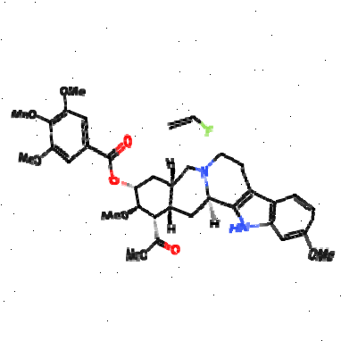 C=CF.COC(=O)[C@H]1[C@H]2C[C@@H]3c4[nH]c5cc(OC)ccc5c4CCN3C[C@H]2C[C@@H](OC(=O)c2cc(OC)c(OC)c(OC)c2)[C@@H]1OC